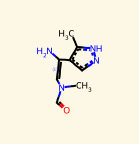 Cc1[nH]ncc1/C(N)=C\N(C)C=O